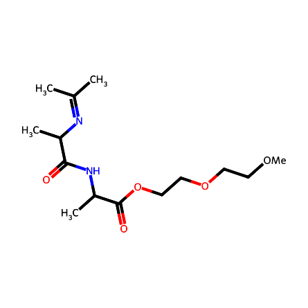 COCCOCCOC(=O)C(C)NC(=O)C(C)N=C(C)C